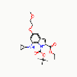 CCOC(=O)c1cc2cc(OCCOC)cc(NC3CC3)c2n1C(=O)OC(C)(C)C